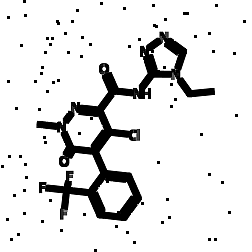 CCn1cnnc1NC(=O)c1nn(C)c(=O)c(-c2ccccc2C(F)(F)F)c1Cl